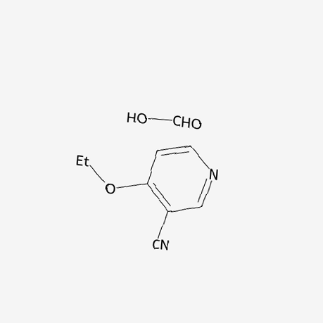 CCOc1ccncc1C#N.O=CO